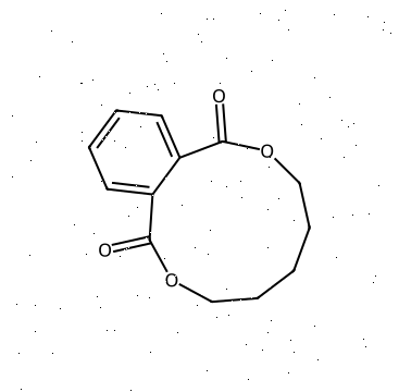 O=C1OCCCCCOC(=O)c2ccccc21